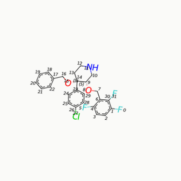 Fc1ccc(F)c(CO[C@H]2CNCC[C@]2(OCc2ccccc2)c2ccc(Cl)cc2)c1F